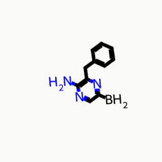 Bc1cnc(N)c(Cc2ccccc2)n1